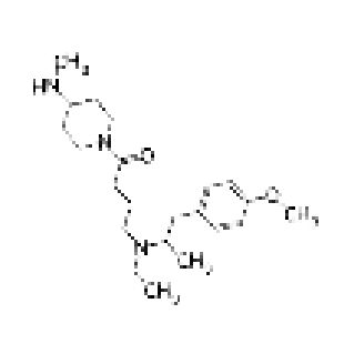 CCN(CCCC(=O)N1CCC(NC)CC1)C(C)Cc1ccc(OC)cc1